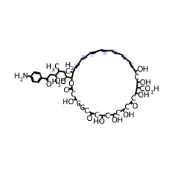 CC1/C=C/C=C/C=C/C=C/C=C/C=C/C=C/C(O)CC(O)C(C(=O)O)C(O)CC(=O)CC(O)CC(O)CC(O)CC(=O)CCCC(O)CC(=O)OC1C(C)CC(C)C(O)CC(=O)c1ccc(N)cc1